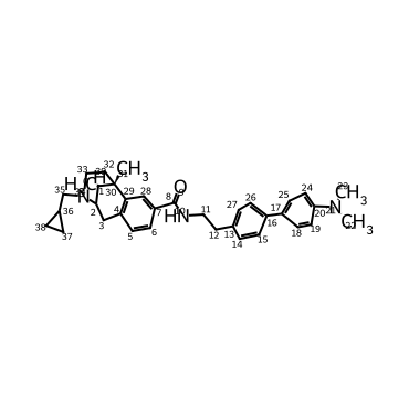 C[C@H]1C2Cc3ccc(C(=O)NCCc4ccc(-c5ccc(N(C)C)cc5)cc4)cc3[C@@]1(C)CCN2CC1CC1